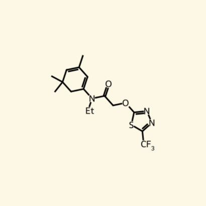 CCN(C(=O)COc1nnc(C(F)(F)F)s1)C1=CC(C)=CC(C)(C)C1